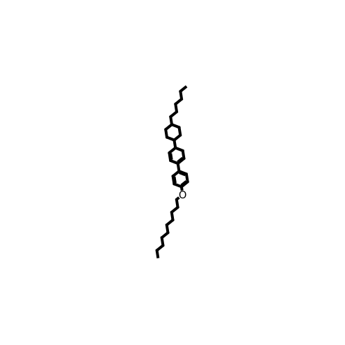 CCCCCCCCCCOc1ccc(C2=CCC(C3CCC(CCCCCC)CC3)C=C2)cc1